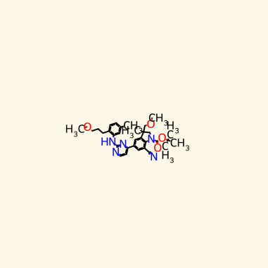 COCCCc1ccc(C)cc1Nc1nccc(-c2cc(C#N)c3c(c2)C(C)(COC)CN3C(=O)OC(C)(C)C)n1